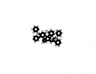 c1ccc(-n2c3ccccc3c3cc4c(cc32)Oc2ccccc2C42c3ccccc3-c3cc4c5ccccc5n(-c5ccccc5)c4cc32)cc1